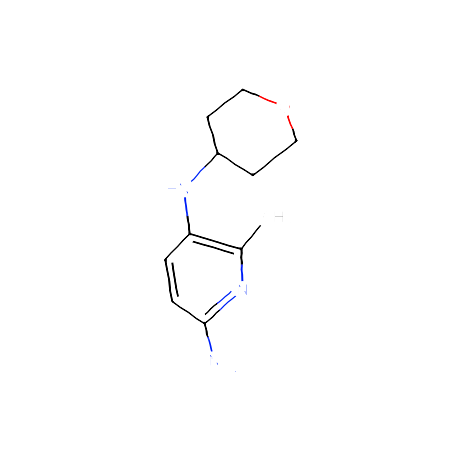 Cc1nc(N)ccc1NC1CCOCC1